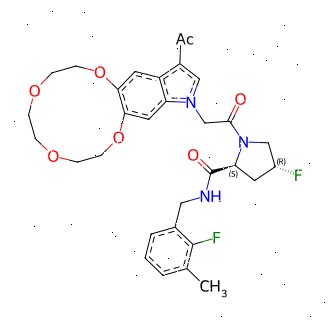 CC(=O)c1cn(CC(=O)N2C[C@H](F)C[C@H]2C(=O)NCc2cccc(C)c2F)c2cc3c(cc12)OCCOCCOCCO3